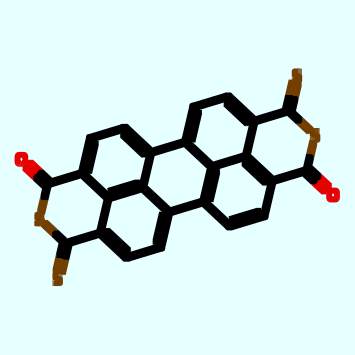 O=C1SC(=S)c2ccc3c4ccc5c6c(ccc(c7ccc1c2c73)c64)C(=S)SC5=O